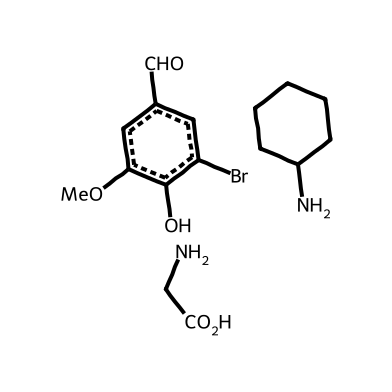 COc1cc(C=O)cc(Br)c1O.NC1CCCCC1.NCC(=O)O